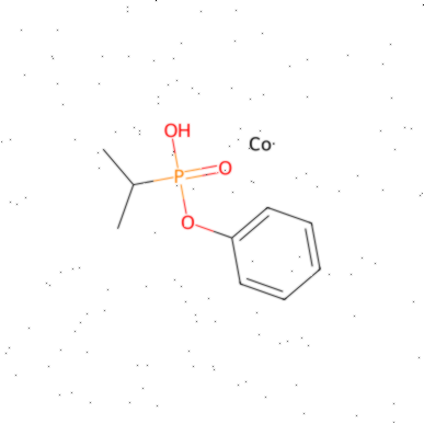 CC(C)P(=O)(O)Oc1ccccc1.[Co]